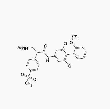 CC(=O)NCC(C(=O)Nc1cc(Cl)c(-c2ccccc2OC(F)(F)F)c(Cl)c1)c1ccc(S(C)(=O)=O)cc1